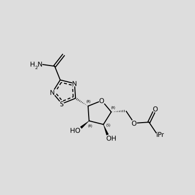 C=C(N)c1nsc([C@@H]2O[C@H](COC(=O)C(C)C)[C@@H](O)[C@H]2O)n1